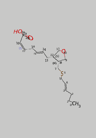 CCCC=CCSC[C@H]1COC[C@H]1CC=CC/C=C\C(=O)O